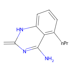 C=C1N=C(N)c2c(CCC)cccc2N1